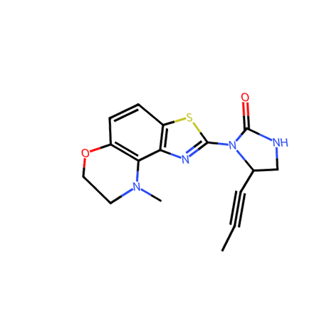 CC#CC1CNC(=O)N1c1nc2c3c(ccc2s1)OCCN3C